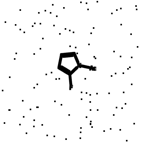 CC(=O)n1cccc1F